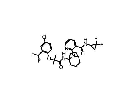 CC(C)(Oc1ccc(Cl)cc1C(F)F)C(=O)NC12CCCC(CC1)N2c1ncccc1C(=O)NC1CC1(F)F